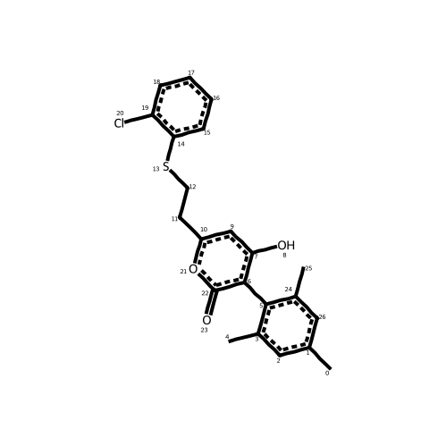 Cc1cc(C)c(-c2c(O)cc(CCSc3ccccc3Cl)oc2=O)c(C)c1